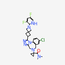 CN(C)C(=O)C1(N2Cc3cc(Cl)ccc3-n3c(nnc3C3CC4(C3)CN(C3NC=C(F)C=C3F)C4)C2)CC1